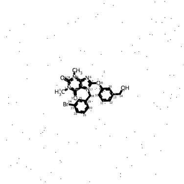 Cn1c(=O)c2c(nc(Oc3cccc(CO)c3)n2Cc2cccc(Br)c2)n(C)c1=O